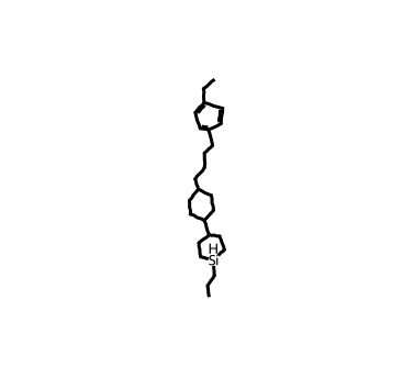 CCC[SiH]1CCC(C2CCC(CCCCc3ccc(CC)cc3)CC2)CC1